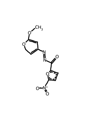 COC1=CC(N=NC(=O)c2ccc([N+](=O)[O-])o2)=CCO1